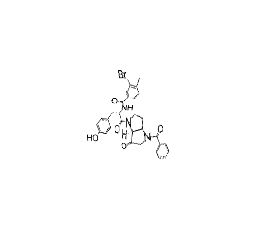 Cc1ccc(C(=O)N[C@@H](Cc2ccc(O)cc2)C(=O)N2CCC3[C@H]2C(=O)CN3C(=O)c2ccccc2)cc1Br